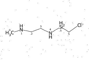 CNCCN[SiH2]CCl